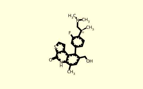 Cc1cc(CO)c(-c2ccc([C@H](C)CN(C)C)c(F)c2)c2c1[nH]c(=O)c1sccc12